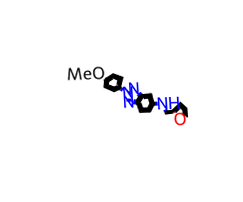 COc1ccc(-n2nc3ccc(NCc4ccco4)cc3n2)cc1